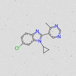 Cc1ncncc1-c1nc2ccc(Cl)cc2n1C1CC1